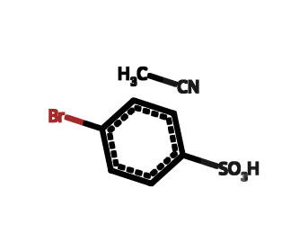 CC#N.O=S(=O)(O)c1ccc(Br)cc1